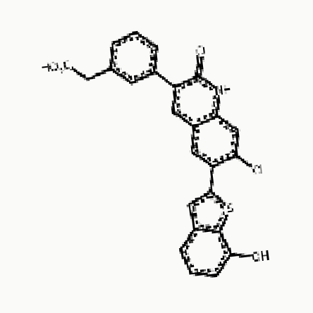 O=C(O)Cc1cccc(-c2cc3cc(-c4cc5cccc(O)c5s4)c(Cl)cc3[nH]c2=O)c1